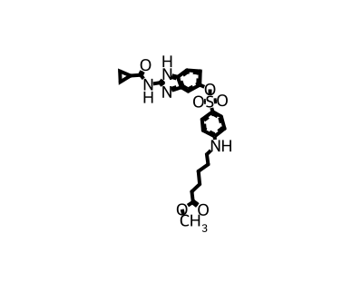 COC(=O)CCCCCNc1ccc(S(=O)(=O)Oc2ccc3[nH]c(NC(=O)C4CC4)nc3c2)cc1